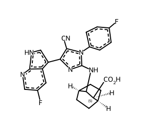 N#Cc1c(-c2c[nH]c3ncc(F)cc23)nc(NC2[C@H]3CC[C@H](CC3)[C@@H]2C(=O)O)n1-c1ccc(F)cc1